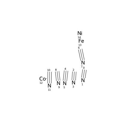 C#N.C#N.C#N.C#N.C#N.C#N.[Co].[Fe].[Ni]